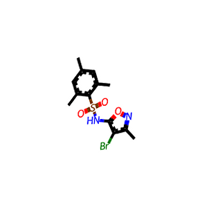 Cc1cc(C)c(S(=O)(=O)Nc2onc(C)c2Br)c(C)c1